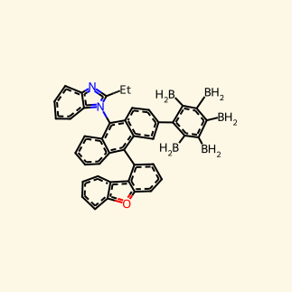 Bc1c(B)c(B)c(-c2ccc3c(-n4c(CC)nc5ccccc54)c4ccccc4c(-c4cccc5oc6ccccc6c45)c3c2)c(B)c1B